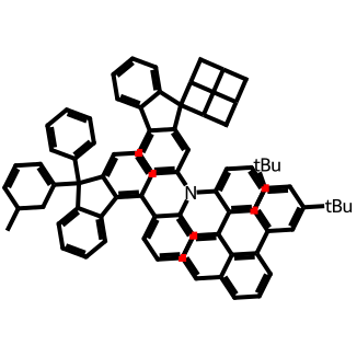 CC1C=CC=C(C2(c3ccccc3)c3ccccc3-c3c(-c4ccccc4N(c4ccc5c(c4)C4(c6ccccc6-5)C5CC6CC7CC4C675)c4ccccc4-c4cccc5cccc(-c6cc(C(C)(C)C)cc(C(C)(C)C)c6)c45)cccc32)C1